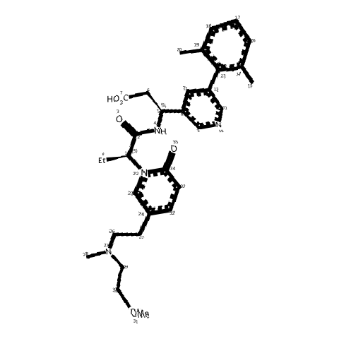 CC[C@@H](C(=O)N[C@@H](CC(=O)O)c1cncc(-c2c(C)cccc2C)c1)n1cc(CCN(C)CCOC)ccc1=O